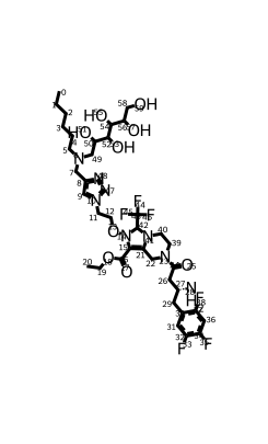 CCCCCCN(Cc1cn(CCON2C(C(=O)OCC)=C3CN(C(=O)C[C@H](N)Cc4cc(F)c(F)cc4F)CCN3C2C(F)(F)F)nn1)CC(O)C(O)C(O)C(O)CO